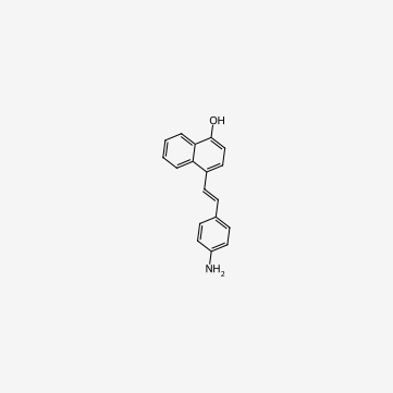 Nc1ccc(/C=C/c2ccc(O)c3ccccc23)cc1